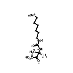 CCCCCCCCCCCCCCCCNC(=S)NC(C)(C)C(=O)C(=O)O